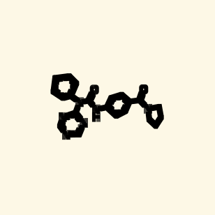 O=C(c1ccc(NC(=O)N(c2ccccc2)c2ncncn2)cc1)N1CCCC1